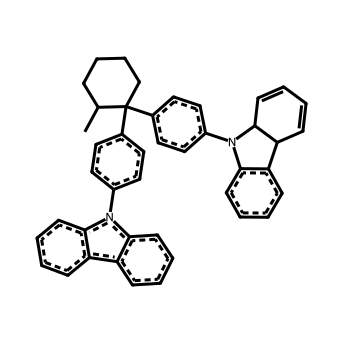 CC1CCCCC1(c1ccc(N2c3ccccc3C3C=CC=CC32)cc1)c1ccc(-n2c3ccccc3c3ccccc32)cc1